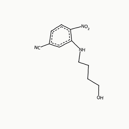 N#Cc1ccc([N+](=O)[O-])c(NCCCCO)c1